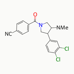 CNC1CN(C(=O)c2ccc(C#N)cc2)CC1c1ccc(Cl)c(Cl)c1